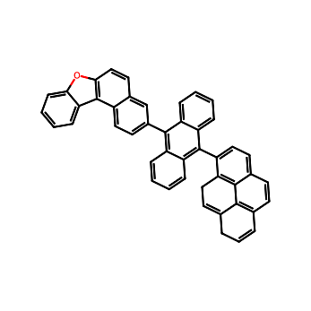 C1=Cc2ccc3ccc(-c4c5ccccc5c(-c5ccc6c(ccc7oc8ccccc8c76)c5)c5ccccc45)c4c3c2C(=CC4)C1